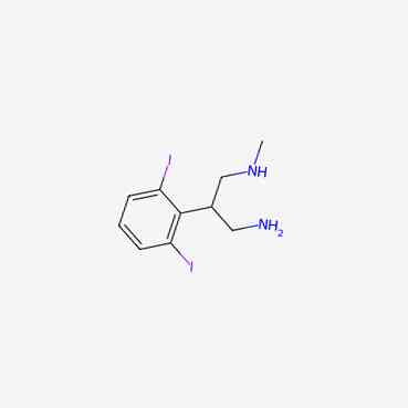 CNCC(CN)c1c(I)cccc1I